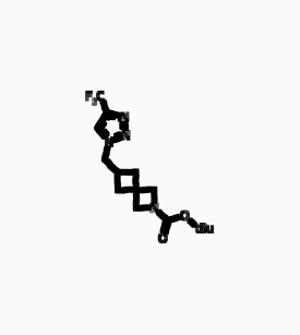 CC(C)(C)OC(=O)N1CC2(CC(Cn3cc(C(F)(F)F)nn3)C2)C1